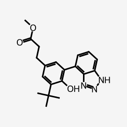 COC(=O)CCc1cc(-c2cccc3[nH]nnc23)c(O)c(C(C)(C)C)c1